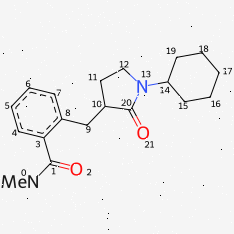 CNC(=O)c1ccccc1CC1CCN(C2CCCCC2)C1=O